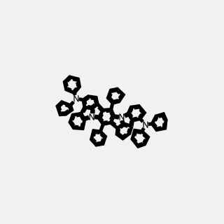 c1ccc(-c2c3c4ccc(N(c5ccccc5)c5ccccc5)c5c6ccccc6n(c3c(-c3ccccc3)c3c6cccc7c8c(N(c9ccccc9)c9ccccc9)cccc8n(c23)c76)c45)cc1